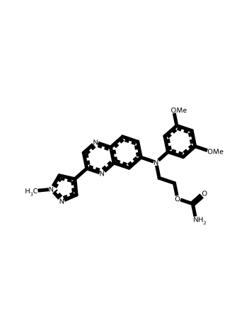 COc1cc(OC)cc(N(CCOC(N)=O)c2ccc3ncc(-c4cnn(C)c4)nc3c2)c1